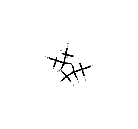 FC(F)(F)C1(F)OC(C(F)(F)F)(C(F)(F)F)OC1(F)F